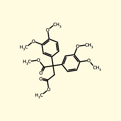 COC(=O)CC(C(=O)OC)(c1ccc(OC)c(OC)c1)c1ccc(OC)c(OC)c1